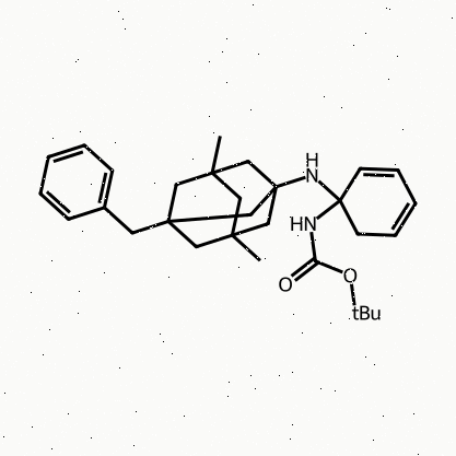 CC12CC3(C)CC(Cc4ccccc4)(C1)CC(NC1(NC(=O)OC(C)(C)C)C=CC=CC1)(C2)C3